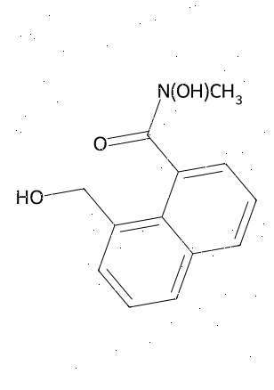 CN(O)C(=O)c1cccc2cccc(CO)c12